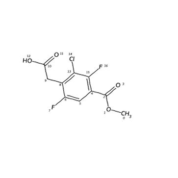 COC(=O)c1cc(F)c(CC(=O)O)c(Cl)c1F